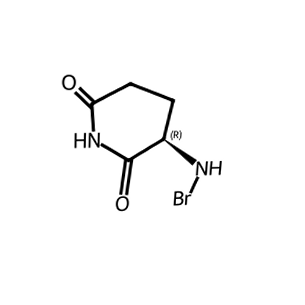 O=C1CC[C@@H](NBr)C(=O)N1